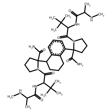 CNC(C)C(=O)NC(C(=O)N1CCCC1(C(N)=O)c1cccc2c1CCCC2C1(C(N)=O)CCCN1C(=O)C(NC(=O)C(C)NC)C(C)(C)C)C(C)(C)C